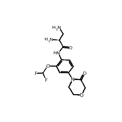 NC[C@H](N)C(=O)Nc1ccc(N2CCOCC2=O)cc1OC(F)F